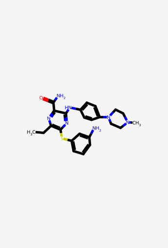 CCc1nc(C(N)=O)c(Nc2ccc(N3CCN(C)CC3)cc2)nc1Sc1cccc(N)c1